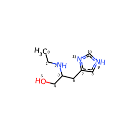 CCNC(CO)Cc1c[nH]cn1